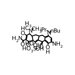 CCCCN(c1cc(N)c(O)c2c1CC1CC3[C@H](N(C)C)C(O)=C(C(N)=O)C(=O)[C@@]3(O)C(O)=C1C2=O)C(C)C.O=S(=O)(O)O